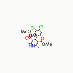 COC(=O)C1=C(C)NC(C)=C(C(=O)OC)C1c1ccc(Cl)c(Cl)c1C(=O)OC